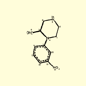 O=CC1CNCCN1c1cccc([N+](=O)[O-])c1